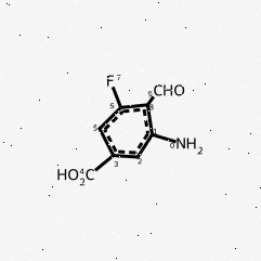 Nc1cc(C(=O)O)cc(F)c1C=O